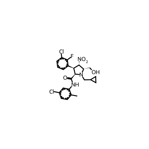 Cc1ccc(Cl)cc1NC(=O)[C@H]1[C@@H](c2cccc(Cl)c2F)[C@H]([N+](=O)[O-])[C@H](CO)N1CC1CC1